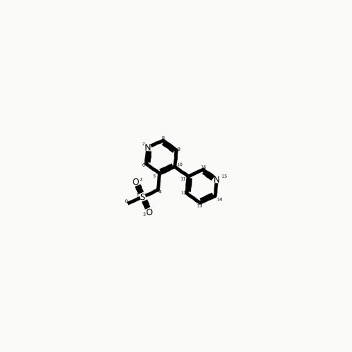 CS(=O)(=O)Cc1cnccc1-c1cccnc1